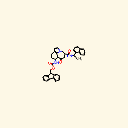 CC(NC(=O)C1CC(=O)C2c3c(ccn3C1)CCC2NC(=O)OCC1c2ccccc2-c2ccccc21)c1cccc2ccccc12